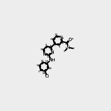 CN(C)C(=O)c1cc(-c2ccnc(Nc3cccc(Cl)c3)n2)ccn1